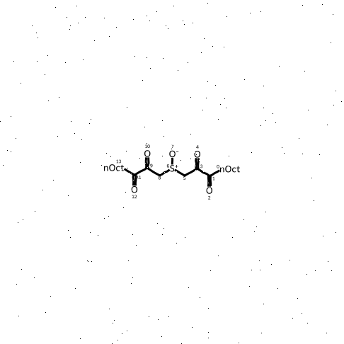 CCCCCCCCC(=O)C(=O)C[S+]([O-])CC(=O)C(=O)CCCCCCCC